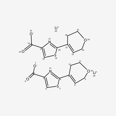 O=C([O-])c1csc(C2=CCOCC2)n1.O=C([O-])c1csc(C2=CCOCC2)n1.[Li+].[Li+]